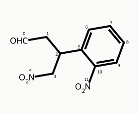 O=CCC(C[N+](=O)[O-])c1ccccc1[N+](=O)[O-]